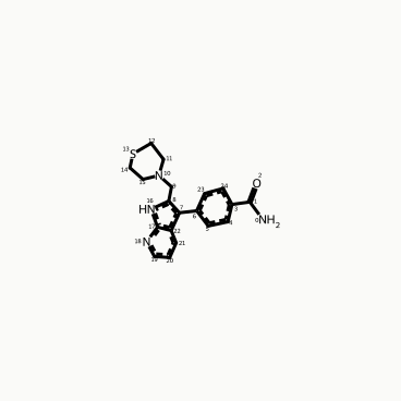 NC(=O)c1ccc(-c2c(CN3CCSCC3)[nH]c3ncccc23)cc1